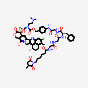 CC[C@@]1(OCN(CCN(C)C)C(=O)OCc2ccc(NC(=O)CNC(=O)[C@H](Cc3ccccc3)NC(=O)CNC(=O)CNC(=O)CCCCCN3C(=O)CC(C)C3=O)cc2)C(=O)OCc2c1cc1n(c2=O)Cc2c-1nc1cc(F)c(C)c3c1c2[C@@H](C)CC3